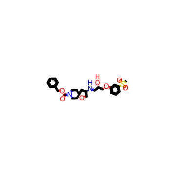 CS(=O)(=O)c1cccc(OC[C@@H](O)CN[C@@H]2COC3(CCN(C(=O)OCc4ccccc4)CC3)C2)c1